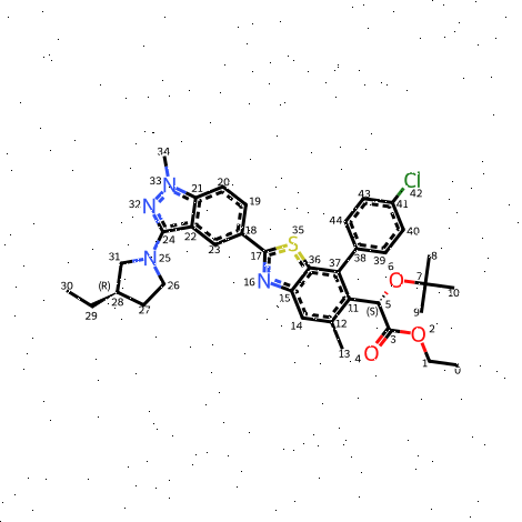 CCOC(=O)[C@@H](OC(C)(C)C)c1c(C)cc2nc(-c3ccc4c(c3)c(N3CC[C@@H](CC)C3)nn4C)sc2c1-c1ccc(Cl)cc1